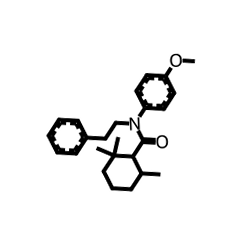 COc1ccc(N(CCc2ccccc2)C(=O)C2C(C)CCCC2(C)C)cc1